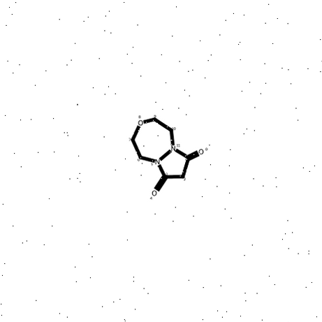 O=C1CC(=O)N2CCOCCN12